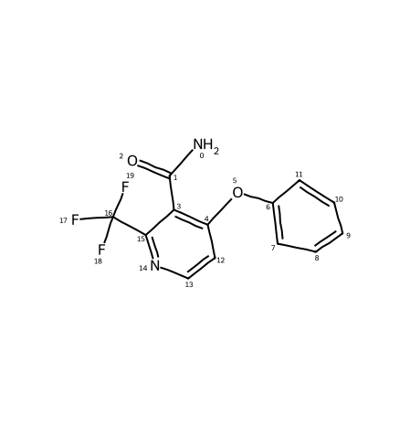 NC(=O)c1c(Oc2ccccc2)ccnc1C(F)(F)F